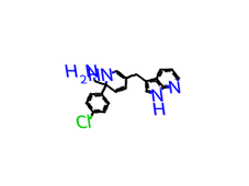 NCC1(c2ccc(Cl)cc2)C=CC(Cc2c[nH]c3ncccc23)=CN1